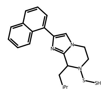 CC(C)CC1c2nc(-c3cccc4ccccc34)cn2CCN1SS